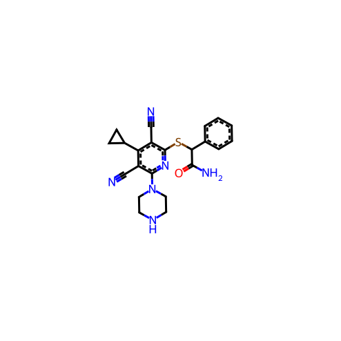 N#Cc1c(SC(C(N)=O)c2ccccc2)nc(N2CCNCC2)c(C#N)c1C1CC1